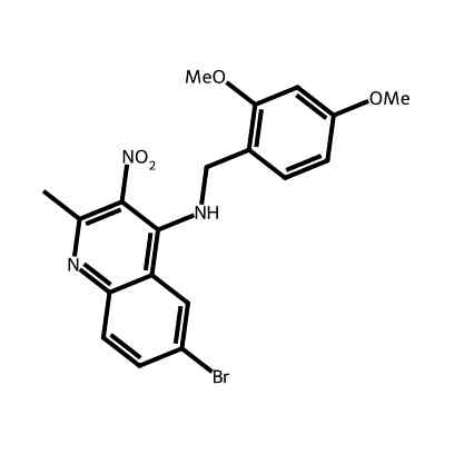 COc1ccc(CNc2c([N+](=O)[O-])c(C)nc3ccc(Br)cc23)c(OC)c1